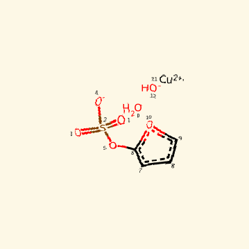 O.O=S(=O)([O-])Oc1ccco1.[Cu+2].[OH-]